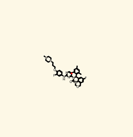 Cc1cc(C)c(C(c2cc(F)cc3c2OCOC3)N(C(=O)O)c2ccnc(Nc3ccc(OCCCN4CCN(C)CC4)c(F)c3)n2)c(C)c1